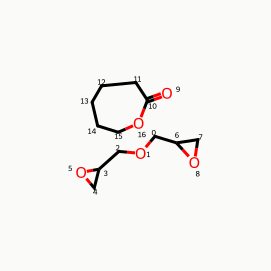 C(OCC1CO1)C1CO1.O=C1CCCCCO1